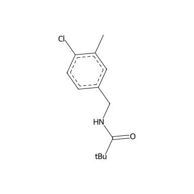 Cc1cc(CNC(=O)C(C)(C)C)ccc1Cl